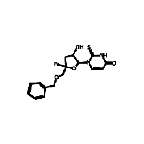 O=c1ccn(C2O[C@](F)(COCc3ccccc3)C[C@H]2O)c(=S)[nH]1